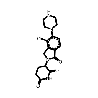 O=C1CCC(N2Cc3c(ccc(N4CCNCC4)c3Cl)C2=O)C(=O)N1